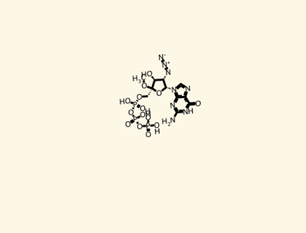 CO[C@]1(COP(=O)(O)OP(=O)(O)OP(=O)(O)O)O[C@@H](n2cnc3c(=O)[nH]c(N)nc32)[C@@H](N=[N+]=[N-])[C@@H]1O